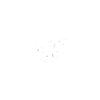 Cc1cc2c(cc1-c1ccccc1C(C)C)C(C1=CC=CCC1)(c1ccccc1)c1c3c(c4c(c1-2)CC=CC4)CCC=C3